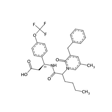 CCCCC(C(=O)N[C@@H](CC(=O)O)c1ccc(OC(F)(F)F)cc1)n1cc(C)cc(Cc2ccccc2)c1=O